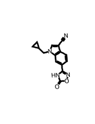 N#Cc1cn(CC2CC2)c2cc(-c3noc(=O)[nH]3)ccc12